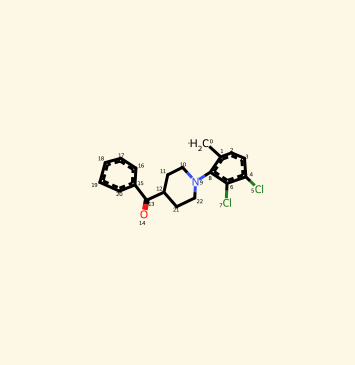 [CH2]c1ccc(Cl)c(Cl)c1N1CCC(C(=O)c2ccccc2)CC1